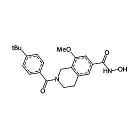 COc1cc(C(=O)NO)cc2c1CN(C(=O)c1ccc(C(C)(C)C)cc1)CC2